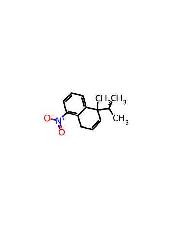 CC(C)C1(C)C=CCc2c([N+](=O)[O-])cccc21